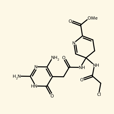 COC(=O)C1=CCC(NC(=O)CCl)(NC(=O)Cc2c(N)nc(N)[nH]c2=O)C=N1